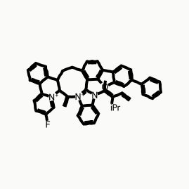 C=C/C(=C(\C)n1c2[n+](c3ccccc31)C(=C)C1C(CCc3ccc4c(oc5cc(-c6ccccc6)ccc54)c3-2)c2ccccc2-c2ccc(F)c[n+]21)C(C)C